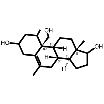 CC1=C2CC(O)CC(C)[C@]2(CO)[C@@H]2CC[C@]3(C)C(O)CC[C@H]3[C@@H]2C1